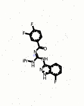 CC(C)N/C(=N/C(=O)c1ccc(F)c(F)c1)Nc1n[nH]c2c(F)cccc12